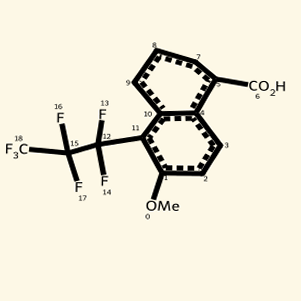 COc1ccc2c(C(=O)O)cccc2c1C(F)(F)C(F)(F)C(F)(F)F